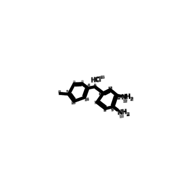 Cc1ccc(Cc2ccc(N)c(N)c2)cc1.Cl